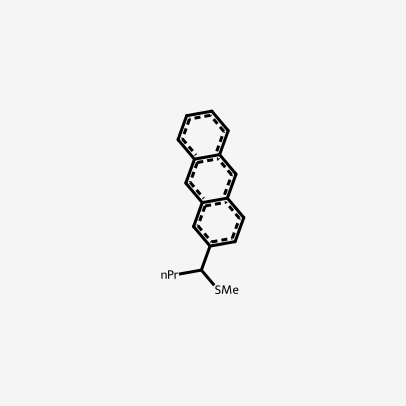 CCCC(SC)c1ccc2cc3ccccc3cc2c1